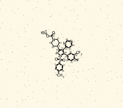 Cc1ccc(S(=O)(=O)n2nc(C3CCN(C(=O)OC(C)(C)C)CC3)c(-c3ccncn3)c2-c2ccc(F)c(C(F)(F)F)c2)cc1